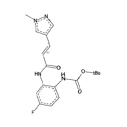 Cn1cc(/C=C/C(=O)Nc2cc(F)ccc2NC(=O)OC(C)(C)C)cn1